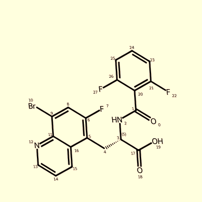 O=C(N[C@@H](Cc1c(F)cc(Br)c2ncccc12)C(=O)O)c1c(F)cccc1F